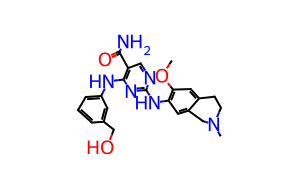 COc1cc2c(cc1Nc1ncc(C(N)=O)c(Nc3cccc(CO)c3)n1)CN(C)CC2